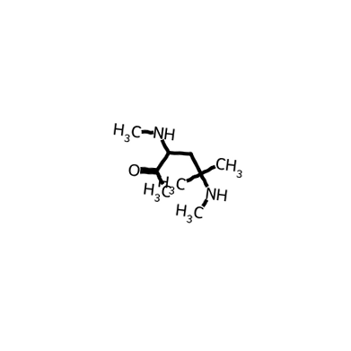 CNC(CC(C)(C)NC)C(C)=O